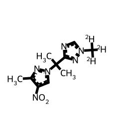 [2H]C([2H])([2H])n1cnc(C(C)(C)n2cc([N+](=O)[O-])c(C)n2)n1